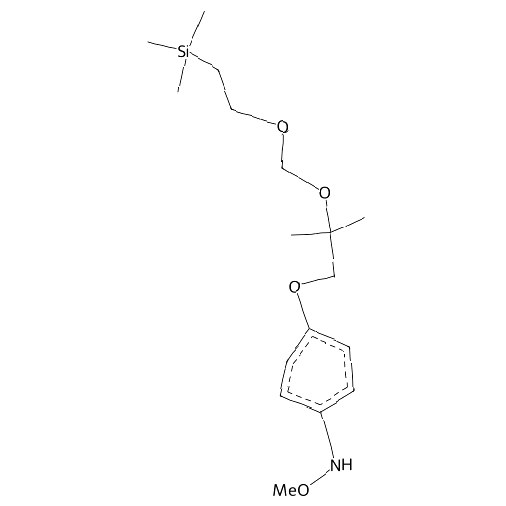 CONc1ccc(OCC(C)(C)OCOCC[Si](C)(C)C)cc1